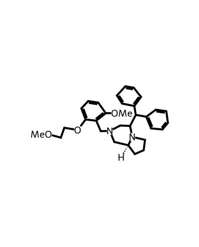 COCCOc1cccc(OC)c1CN1CC(C(c2ccccc2)c2ccccc2)N2CCC[C@H]2C1